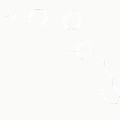 Cc1nc(COCC2CCCO2)sc1-c1cccc(-c2ccc(C(=O)O)cc2)c1